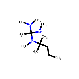 CCCC(C)(C)N(C)C(C)(NC)N(C)C